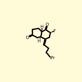 CC(C)CC/C=C1\C[C@H](F)C(=O)[C@H]2CCC(=O)C[C@H]12